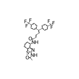 CC(=O)Nc1nc2c(NC(=O)/C=C/C=C(c3ccc(C(F)(F)F)cc3)c3ccc(C(F)(F)F)cc3)cccc2s1